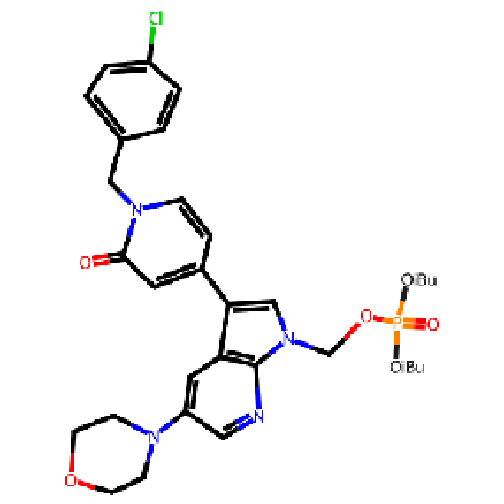 CC(C)COP(=O)(OCC(C)C)OCn1cc(-c2ccn(Cc3ccc(Cl)cc3)c(=O)c2)c2cc(N3CCOCC3)cnc21